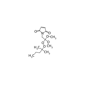 CCCC(C)(C)OOC(CN1C(=O)C=CC1=O)(OC)OC